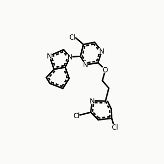 Clc1cc(Cl)nc(CCOc2ncc(Cl)c(-n3cnc4ccccc43)n2)c1